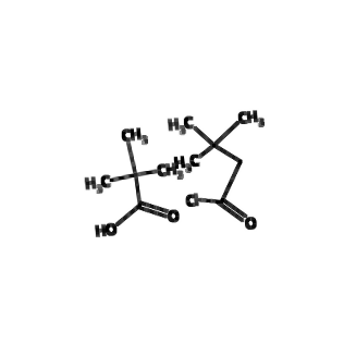 CC(C)(C)C(=O)O.CC(C)(C)CC(=O)Cl